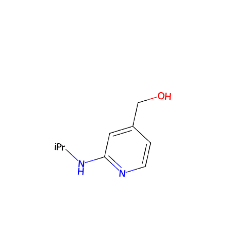 CC(C)Nc1cc(CO)ccn1